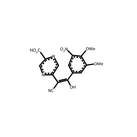 COc1cc(C(O)=C(C#N)c2cnc(C(=O)O)cn2)cc([N+](=O)[O-])c1OC